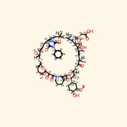 CO[C@H]1C[C@@H]2CC[C@@H](C)[C@@](O)(O2)C(=O)C(=O)N2CCCC[C@H]2C(=O)O[C@H]([C@H](C)C[C@@H]2CC[C@@H](O)[C@H](OC)C2)CC(=O)[C@H](C)/C=C(\C)[C@@H](O)[C@@H](OC)/C(=N\OCC(=O)O)[C@H](C)C[C@H](C)C2C=CC(/C=C/1C)n1c(=O)n(-c3ccccc3)c(=O)n12